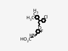 Cc1ccc(C(CCCOc2ccc(CNCCC(=O)O)cc2F)c2cccc(Cl)c2)cc1C